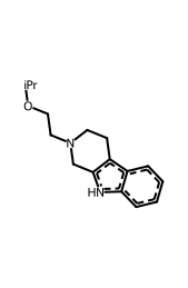 CC(C)OCCN1CCc2c([nH]c3ccccc23)C1